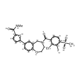 CCc1c(C(=O)N2CCOc3ccc(-c4ccc(C(=O)NC)s4)cc3C2)ccc(S(C)(=O)=O)c1F